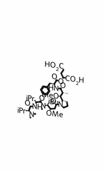 CC[C@H](C)[C@@H]([C@@H](CC(=O)N1CCC[C@H]1[C@H](OC)[C@@H](C)C(=O)N[C@@H](Cc1ccccc1)C(=O)OC(CCC(=O)O)C(=O)O)OC)N(C)C(=O)[C@@H](NC(=O)[C@H](C(C)C)N(C)C)C(C)C